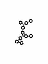 c1ccc(-c2ccc(N(c3ccccc3)c3ccc(-c4ccc5c(c4)c4cc(-c6ccccc6)ccc4n5-c4ccc5c6ccccc6c6ccccc6c5c4)cc3)cc2)cc1